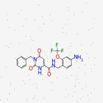 Nc1ccc(CNC(=O)c2cc(=O)n(Cc3ccccc3)c(=O)[nH]2)c(OC(F)(F)F)c1